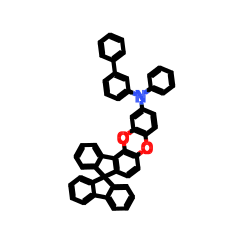 c1ccc(-c2cccc(N(c3ccccc3)c3ccc4c(c3)Oc3c(ccc5c3-c3ccccc3C53c5ccccc5-c5ccccc53)O4)c2)cc1